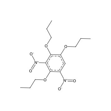 CCCOc1cc([N+](=O)[O-])c(OCCC)c([N+](=O)[O-])c1OCCC